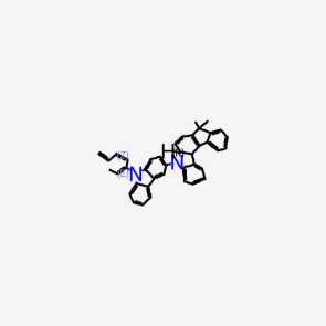 C=C/C=C\C(=C/C)n1c2ccccc2c2cc(N3c4ccccc4C4C5=C(C=C[C@H]43)C(C)(C)c3ccccc35)ccc21